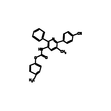 Cc1ccc(OC(=O)Nc2cc(C)c(-c3ccc(C#N)cc3)nc2-c2ccccc2)cc1